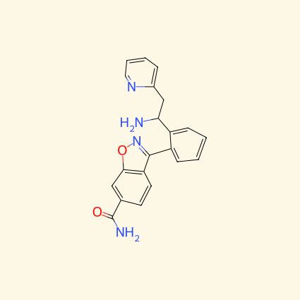 NC(=O)c1ccc2c(-c3ccccc3C(N)Cc3ccccn3)noc2c1